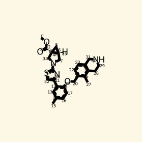 COC(=O)[C@]12C[C@H]1CN(c1nc(-c3cc(C)ccc3OCc3ccc4c(c3C)CCNC4)cs1)C2